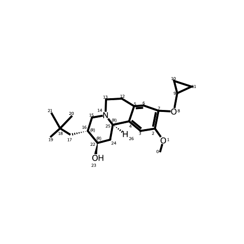 COc1cc2c(cc1OC1CC1)CCN1C[C@@H](CC(C)(C)C)[C@H](O)C[C@H]21